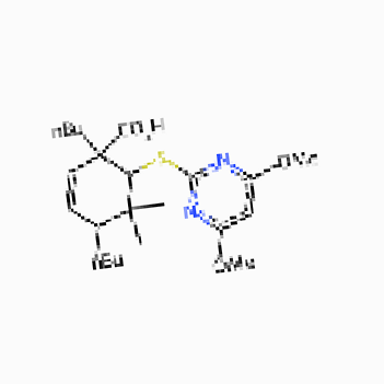 CCCCC1C=CC(CCCC)(C(=O)O)C(Sc2nc(OC)cc(OC)n2)C1(C)C